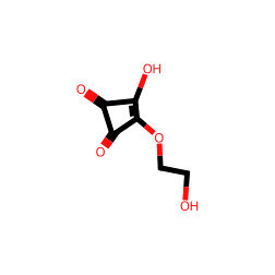 O=c1c(O)c(OCCO)c1=O